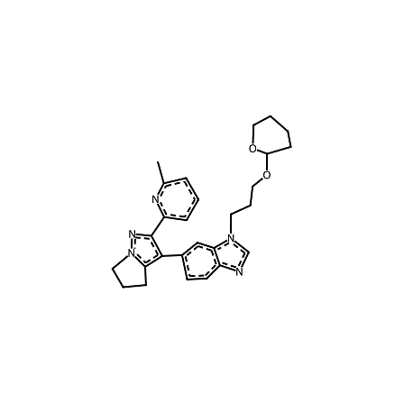 Cc1cccc(-c2nn3c(c2-c2ccc4ncn(CCCOC5CCCCO5)c4c2)CCC3)n1